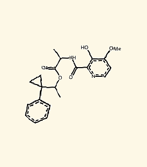 COc1ccnc(C(=O)NC(C)C(=O)OC(C)C2(c3ccccc3)CC2)c1O